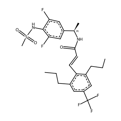 CCCc1cc(C(F)(F)F)cc(CCC)c1C=CC(=O)N[C@H](C)c1cc(F)c(NS(C)(=O)=O)c(F)c1